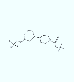 CC(C)(C)OC(=O)N1CCC(N2CCCC(OCC(F)(F)F)C2)CC1